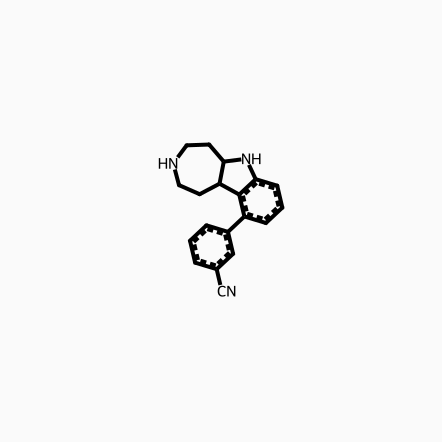 N#Cc1cccc(-c2cccc3c2C2CCNCCC2N3)c1